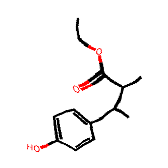 CCOC(=O)C(C)C(C)c1ccc(O)cc1